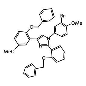 COc1ccc(OCc2ccccc2)c(-c2cn(-c3ccc(OC)c(Br)c3)c(-c3ccccc3OCc3ccccc3)n2)c1